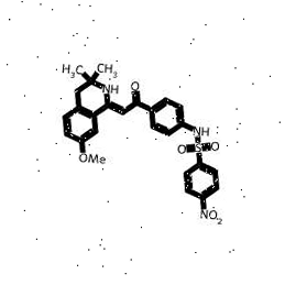 COc1ccc2c(c1)/C(=C/C(=O)c1ccc(NS(=O)(=O)c3ccc([N+](=O)[O-])cc3)cc1)NC(C)(C)C2